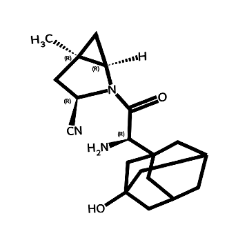 C[C@@]12C[C@H](C#N)N(C(=O)[C@H](N)C34CC5CC(CC(O)(C5)C3)C4)[C@@H]1C2